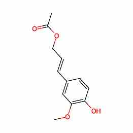 COc1cc(C=CCOC(C)=O)ccc1O